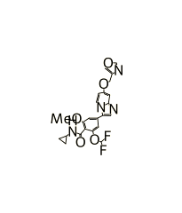 COc1cc(-c2cnc3cc(OCc4cocn4)ccn23)cc(OC(F)F)c1C(=O)NC1CC1